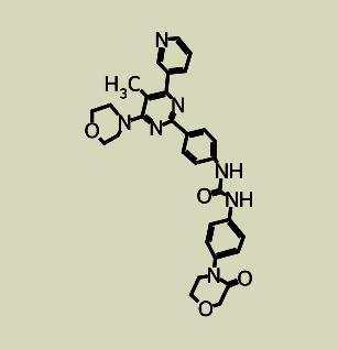 Cc1c(-c2cccnc2)nc(-c2ccc(NC(=O)Nc3ccc(N4CCOCC4=O)cc3)cc2)nc1N1CCOCC1